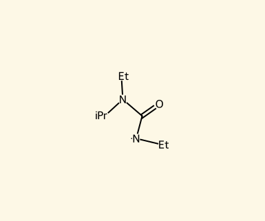 CC[N]C(=O)N(CC)C(C)C